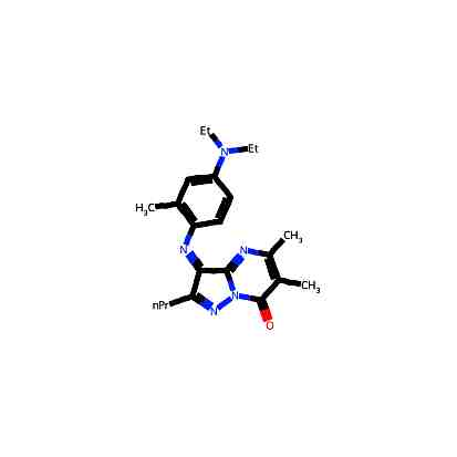 CCCC1=Nn2c(nc(C)c(C)c2=O)C1=Nc1ccc(N(CC)CC)cc1C